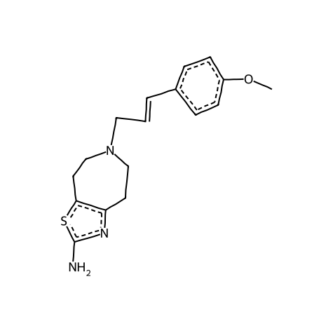 COc1ccc(C=CCN2CCc3nc(N)sc3CC2)cc1